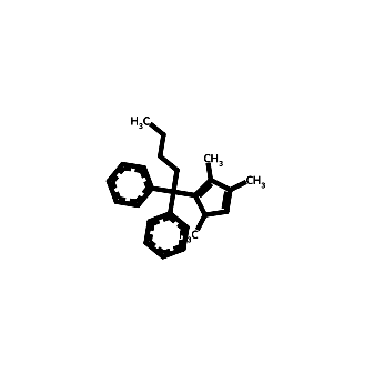 CCCCC(C1=C(C)C(C)=CC1C)(c1ccccc1)c1ccccc1